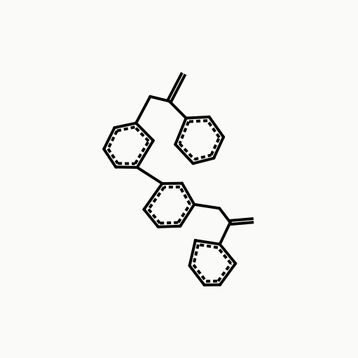 C=C(Cc1cccc(-c2cccc(CC(=C)c3ccccc3)c2)c1)c1ccccc1